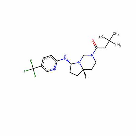 CC(C)(C)CC(=O)N1CC[C@@H]2CC[C@@H](Nc3ccc(C(F)(F)F)cn3)N2C1